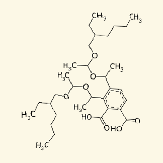 CCCCC(CC)COC(C)OC(C)c1ccc(C(=O)O)c(C(=O)O)c1C(C)OC(C)OCC(CC)CCCC